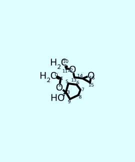 C=COC1(O)CCCCC1.C=COCC1CO1